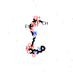 C#CCOCC(CC)(CO)COCC(CC)(CO)COCc1cn(CCCCCC(=O)O[C@]2(CC)C(=O)OCc3c2cc2n(c3=O)Cc3cc4ccccc4nc3-2)nn1